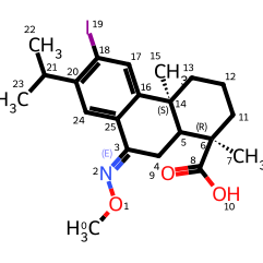 CO/N=C1\CC2[C@](C)(C(=O)O)CCC[C@]2(C)c2cc(I)c(C(C)C)cc21